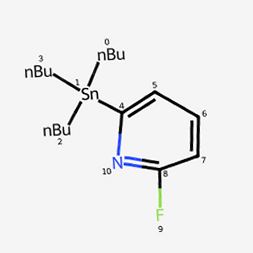 [CH2+]CC[CH2][Sn]([CH2]CCC)([CH2]CCC)[c]1cccc(F)n1